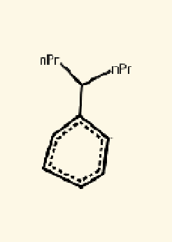 CCCC(CCC)c1[c]cccc1